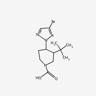 CC(C)(C)C1CN(C(=O)O)CCC1n1ncc(Br)n1